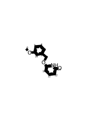 COc1cccc(COc2cccc(=O)[nH]2)c1